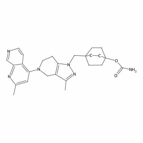 Cc1cc(N2CCc3c(c(C)nn3CC34CCC(OC(N)=O)(CC3)CC4)C2)c2ccncc2n1